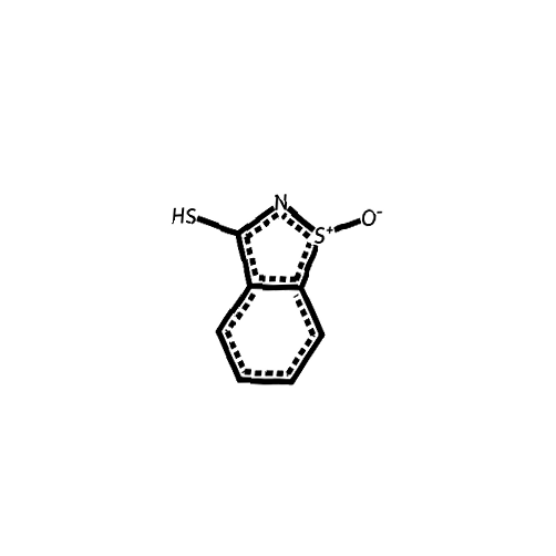 [O-][s+]1nc(S)c2ccccc21